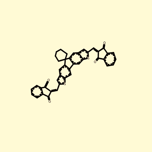 O=C1C(=Cc2cc3cc4c(cc3s2)-c2cc3sc(C=C5C(=O)c6ccccc6C5=O)cc3cc2C42CCCCC2)C(=O)c2ccccc21